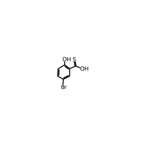 OC(=S)c1cc(Br)ccc1O